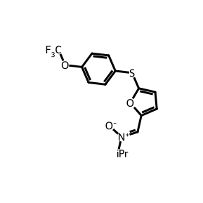 CC(C)[N+]([O-])=Cc1ccc(Sc2ccc(OC(F)(F)F)cc2)o1